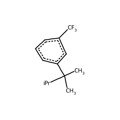 CC(C)C(C)(C)c1cccc(C(F)(F)F)c1